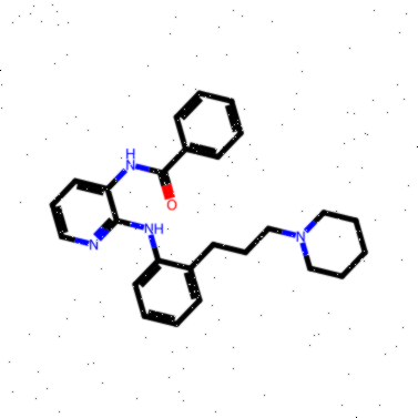 O=C(Nc1cccnc1Nc1ccccc1CCCN1CCCCC1)c1ccccc1